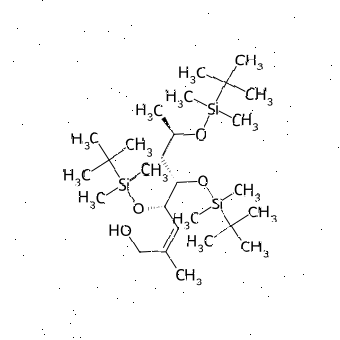 CC(=C[C@H](O[Si](C)(C)C(C)(C)C)[C@H](C[C@@H](C)O[Si](C)(C)C(C)(C)C)O[Si](C)(C)C(C)(C)C)CO